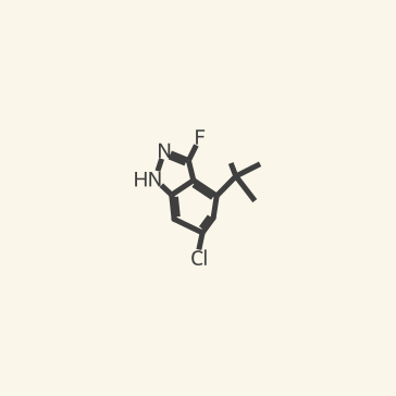 CC(C)(C)c1cc(Cl)cc2[nH]nc(F)c12